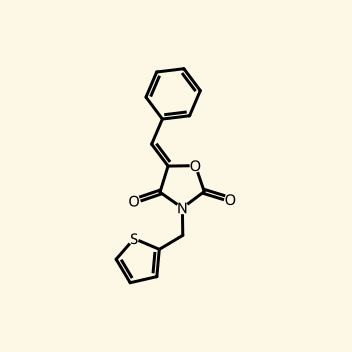 O=C1O/C(=C\c2ccccc2)C(=O)N1Cc1cccs1